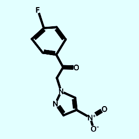 O=C(Cn1cc([N+](=O)[O-])cn1)c1ccc(F)cc1